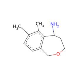 Cc1ccc2c(c1C)C(N)CCOC2